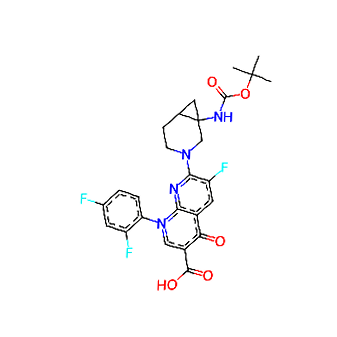 CC(C)(C)OC(=O)NC12CC1CCN(c1nc3c(cc1F)c(=O)c(C(=O)O)cn3-c1ccc(F)cc1F)C2